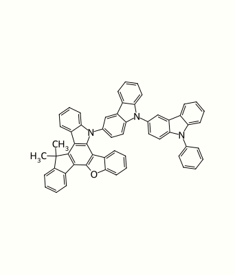 CC1(C)c2ccccc2-c2c1c1c3ccccc3n(-c3ccc4c(c3)c3ccccc3n4-c3ccc4c(c3)c3ccccc3n4-c3ccccc3)c1c1c2oc2ccccc21